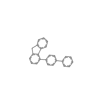 c1ccc(-c2ccc(-c3cccc4c3-c3ccccc3C4)cc2)cc1